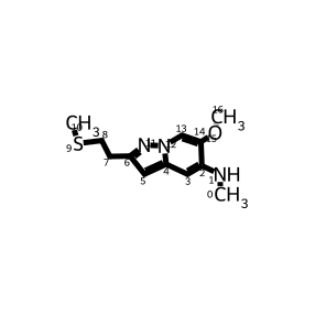 CNc1cc2cc(CCSC)nn2cc1OC